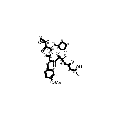 COc1ccc(C[C@H](NC(=O)[C@@H](C)NC(=O)C[C@H](C)O)C(=O)N[C@@H](CC2CCCC2)C(=O)[C@@]2(C)CO2)cc1